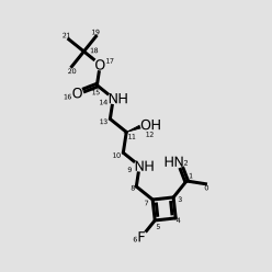 CC(=N)C1=CC(F)=C1CNC[C@H](O)CNC(=O)OC(C)(C)C